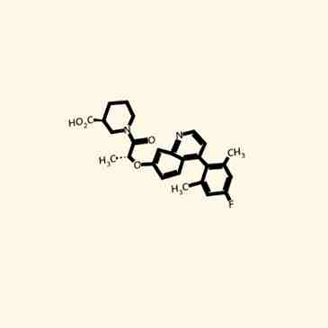 Cc1cc(F)cc(C)c1-c1ccnc2cc(O[C@H](C)C(=O)N3CCC[C@H](C(=O)O)C3)ccc12